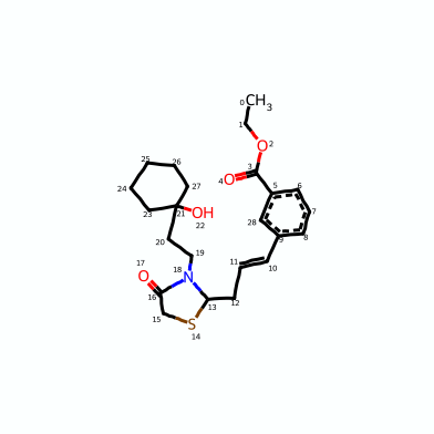 CCOC(=O)c1cccc(C=CCC2SCC(=O)N2CCC2(O)CCCCC2)c1